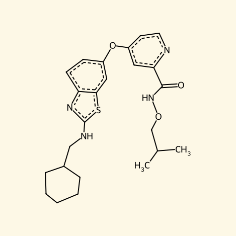 CC(C)CONC(=O)c1cc(Oc2ccc3nc(NCC4CCCCC4)sc3c2)ccn1